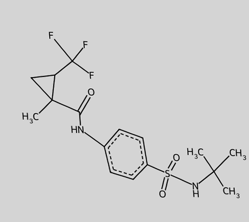 CC(C)(C)NS(=O)(=O)c1ccc(NC(=O)C2(C)CC2C(F)(F)F)cc1